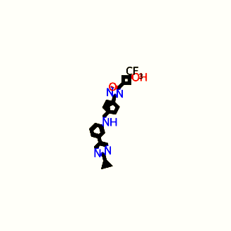 OC1(C(F)(F)F)CC(c2nc(C34CCC(CNc5cccc(-c6cnc(C7CC7)nc6)c5)(CC3)C4)no2)C1